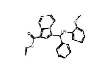 CCOC(=O)c1cc([C@@H](Nc2ccccc2OC)c2ccccc2)n2ccccc12